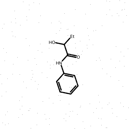 CCC(O)C(=O)Nc1ccccc1